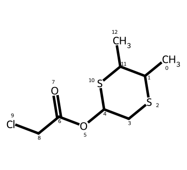 CC1SCC(OC(=O)CCl)SC1C